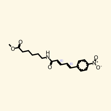 COC(=O)CCCCCNC(=O)/C=C/C=C/c1ccc([N+](=O)[O-])cc1